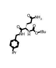 CC(C)c1ccc(CNC(=O)[C@H](CCC(N)=O)NC(=O)OC(C)(C)C)cc1